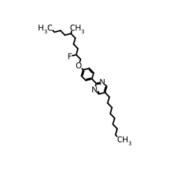 CCCCCCCCCc1cnc(-c2ccc(OCC(F)CCCC(C)CCCC)cc2)nc1